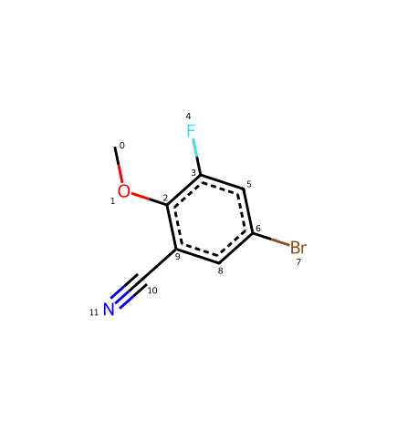 COc1c(F)cc(Br)cc1C#N